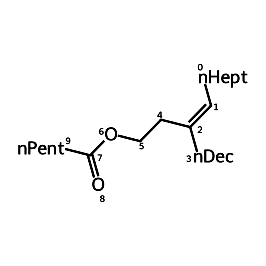 CCCCCCCC=C(CCCCCCCCCC)CCOC(=O)CCCCC